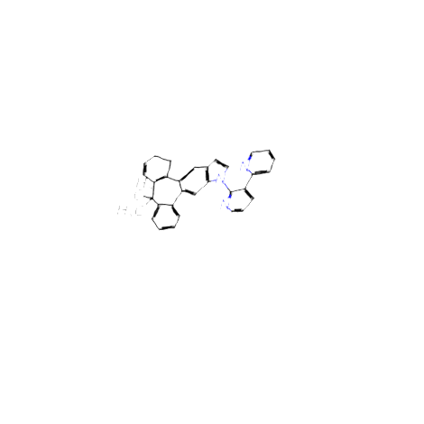 CC1(C)C2=C(CCC=C2)c2cc3ccn(-c4ncccc4-c4ccccn4)c3cc2-c2ccccc21